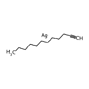 C#CCCCCCCCCCC.[Ag]